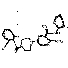 Nc1ncc(N2CCN(C(=O)c3c(F)cccc3F)CC2)nc1C(=O)Nc1ccccn1